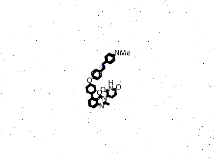 CNc1ccc(/C=C/c2ccc(OC3CCC(c4cccc5nc(C)n(C6CCC(=O)NC6=O)c(=O)c45)CC3)cc2)cc1